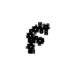 O=C(Nc1ccc(Oc2ccc3nc(N4CCN(O)CC4)nc(Oc4cccnc4)c3c2)cc1)[C@@H]1CCCN1